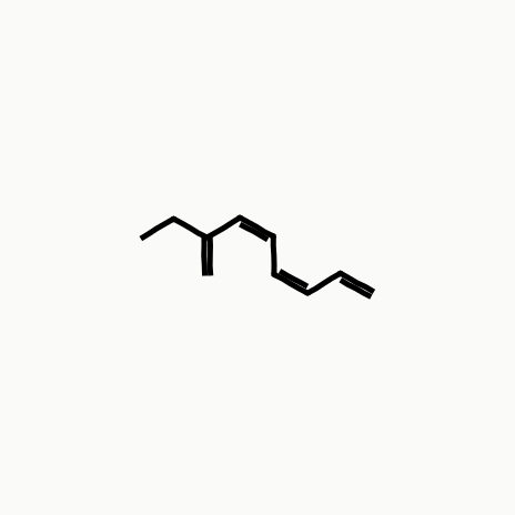 C=C/C=C\C=C/C(=C)CC